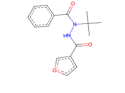 CC(C)(C)N(NC(=O)c1ccoc1)C(=O)c1ccccc1